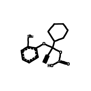 C#CC(Oc1ccccc1C(C)(C)C)(OS(=O)O)C1CCCCC1